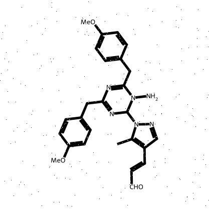 COc1ccc(CC2=NC(n3ncc(C=CC=O)c3C)N(N)C(Cc3ccc(OC)cc3)=N2)cc1